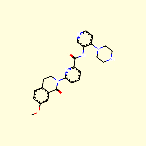 COc1ccc2c(c1)C(=O)N(c1cccc(C(=O)Nc3cnccc3N3CCNCC3)n1)CC2